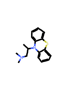 CC(CN(C)C)N1c2ccccc2Sc2ccccc21